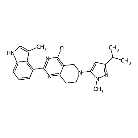 Cc1c[nH]c2cccc(-c3nc(Cl)c4c(n3)CCN(c3cc(C(C)C)nn3C)C4)c12